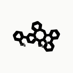 C=C1C2C(Cc3ccccc3-c3cc(-c4ccccc4C)cc[n+]31)c1ccccc1-c1cccc[n+]12